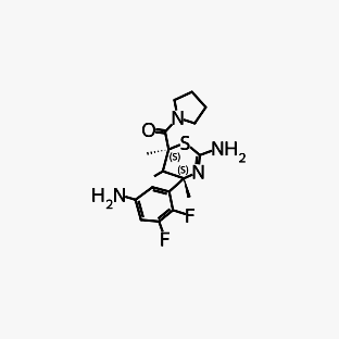 CC1[C@@](C)(C(=O)N2CCCC2)SC(N)=N[C@]1(C)c1cc(N)cc(F)c1F